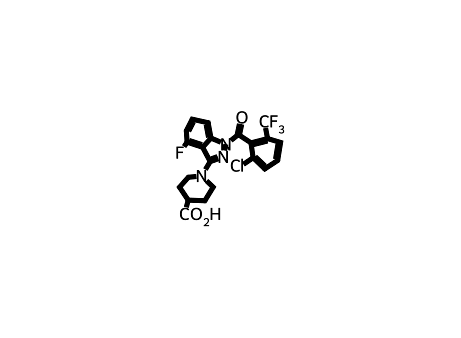 O=C(O)C1CCN(c2nn(C(=O)c3c(Cl)cccc3C(F)(F)F)c3cccc(F)c23)CC1